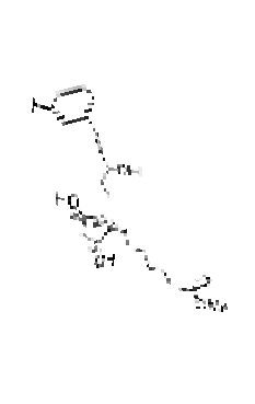 COC(=O)CCCCCC[C@@H]1[C@@H](CCC(O)C#Cc2cccc(F)c2)[C@H](O)C[C@@H]1O